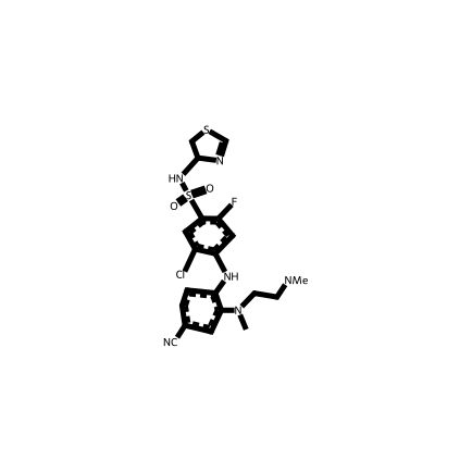 CNCCN(C)c1cc(C#N)ccc1Nc1cc(F)c(S(=O)(=O)NC2CSC=N2)cc1Cl